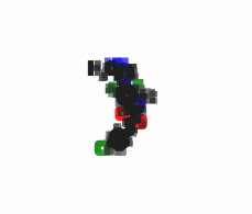 CCn1cc(C(=O)C=Cc2ccc(Cl)cc2)c(=O)c2cc(F)c(N3CCNC(C)C3)c(F)c21